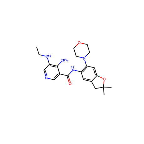 CCNc1cncc(C(=O)Nc2cc3c(cc2N2CCOCC2)OC(C)(C)C3)c1N